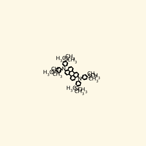 C[Si](C)(C)c1ccc(N(c2ccc([Si](C)(C)C)cc2)c2ccc3c4cccc5c(N(c6ccc([Si](C)(C)C)cc6)c6ccc([Si](C)(C)C)cc6)ccc(c6cccc2c63)c54)cc1